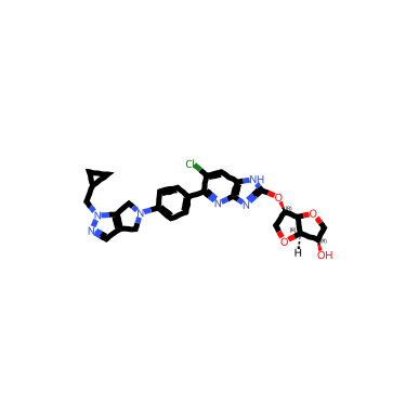 O[C@@H]1COC2[C@H](Oc3nc4nc(-c5ccc(N6Cc7cnn(CC8CC8)c7C6)cc5)c(Cl)cc4[nH]3)CO[C@@H]21